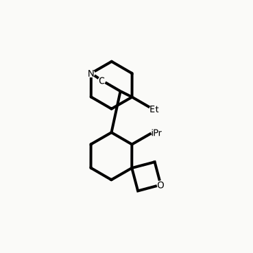 CCC12CCN(CC1)CC2C1CCCC2(COC2)C1C(C)C